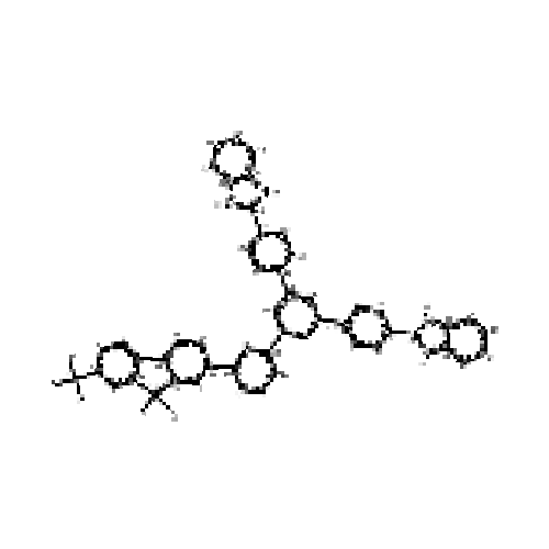 CC(C)(C)c1ccc2c(c1)C(C)(C)c1cc(-c3cccc(-c4cc(-c5ccc(-c6nc7ccccc7o6)cc5)cc(-c5ccc(-c6nc7ccccc7o6)cc5)c4)c3)ccc1-2